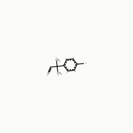 CC(C)(C=O)c1ccc(I)cc1